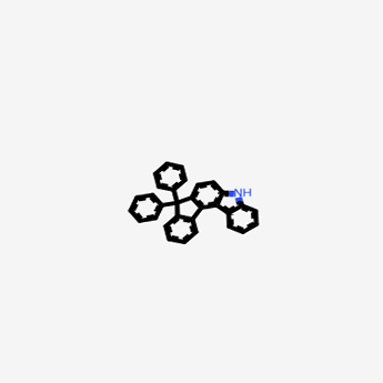 c1ccc(C2(c3ccccc3)c3ccccc3-c3c2ccc2[nH]c4ccccc4c32)cc1